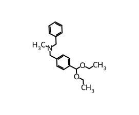 CCOC(OCC)c1ccc(CN(C)Cc2ccccc2)cc1